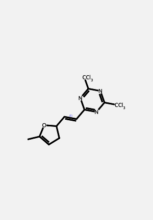 CC1=CCC(/C=C/c2nc(C(Cl)(Cl)Cl)nc(C(Cl)(Cl)Cl)n2)O1